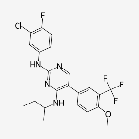 CCC(C)Nc1nc(Nc2ccc(F)c(Cl)c2)ncc1-c1ccc(OC)c(C(F)(F)F)c1